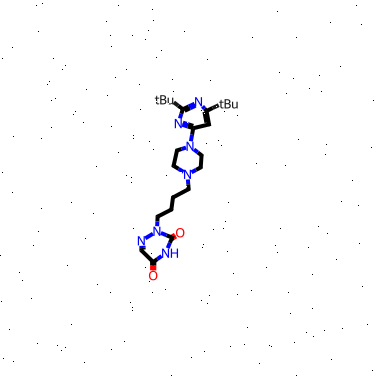 CC(C)(C)c1cc(N2CCN(CCCCn3ncc(=O)[nH]c3=O)CC2)nc(C(C)(C)C)n1